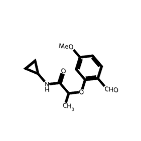 COc1ccc(C=O)c(OC(C)C(=O)NC2CC2)c1